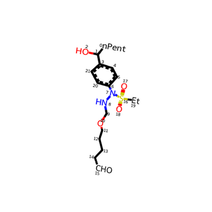 CCCCCC(O)c1ccc(N(NCOCCCCC=O)S(=O)(=O)CC)cc1